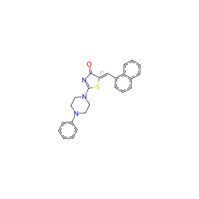 O=C1N=C(N2CCN(c3ccccc3)CC2)S/C1=C\c1cccc2ccccc12